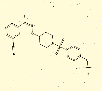 CC(=NOC1CCN(S(=O)(=O)c2ccc(OC(F)(F)F)cc2)CC1)c1cccc(C#N)c1